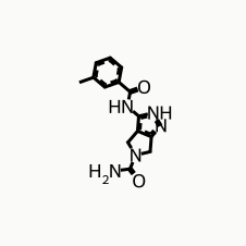 Cc1cccc(C(=O)Nc2[nH]nc3c2CN(C(N)=O)C3)c1